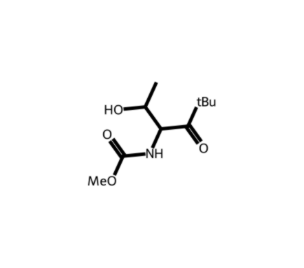 COC(=O)NC(C(=O)C(C)(C)C)C(C)O